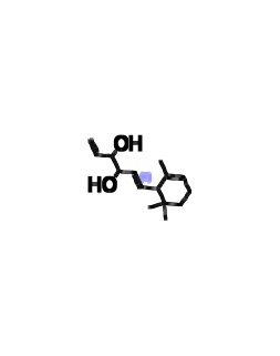 C=CC(O)C(O)/C=C/C1C(C)=CCCC1(C)C